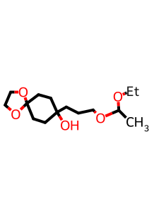 CCOC(C)OCCCC1(O)CCC2(CC1)OCCO2